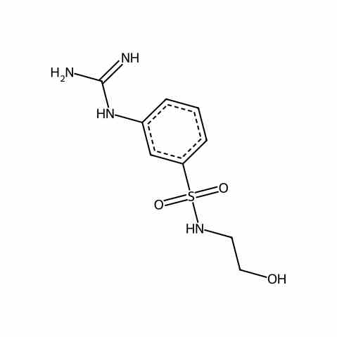 N=C(N)Nc1cccc(S(=O)(=O)NCCO)c1